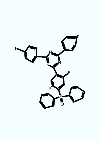 O=P(c1ccccc1)(c1ccccc1)c1cc(F)c(-c2nc(-c3ccc(F)cc3)nc(-c3ccc(F)cc3)n2)cc1F